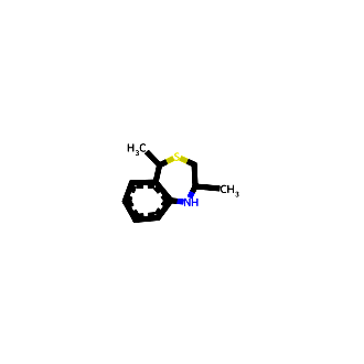 CC1CSC(C)c2ccccc2N1